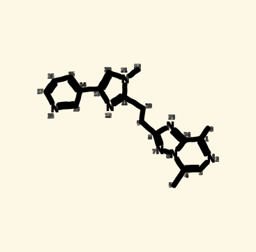 Cc1ncc(C)n2nc(CCc3nc(-c4cccnc4)cn3C)nc12